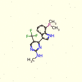 CNc1ncc(C(F)(F)F)c(-c2c[nH]c3c(P(C)C)cccc23)n1